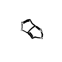 c1noc2csnc12